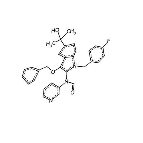 CC(C)(O)c1ccc2c(c1)c(OCc1ccccc1)c(N(C=O)c1cccnc1)n2Cc1ccc(F)cc1